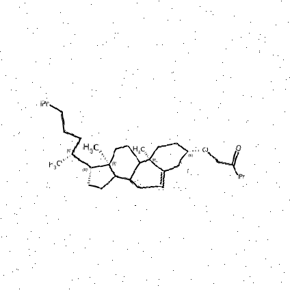 CC(C)CCC[C@@H](C)[C@H]1CCC2C3CC=C4C[C@@H](OCC(=O)C(C)C)CC[C@]4(C)C3CC[C@@]21C